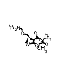 Cn1c(=O)c2c(ncn2COCN)n(C)c1=O